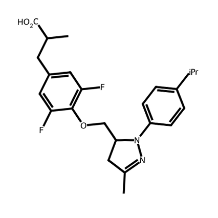 CC1=NN(c2ccc(C(C)C)cc2)C(COc2c(F)cc(CC(C)C(=O)O)cc2F)C1